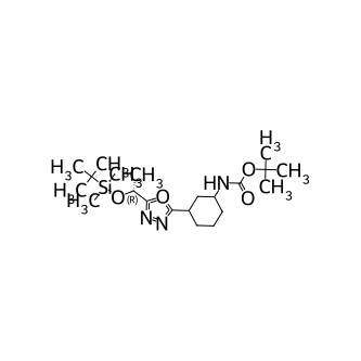 C[C@@H](O[Si](C)(C)C(C)(C)C)c1nnc(C2CCCC(NC(=O)OC(C)(C)C)C2)o1